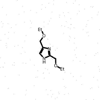 CCOCc1c[nH]c(COCC)n1